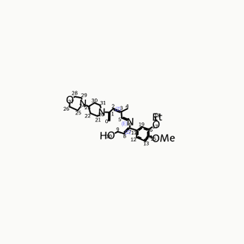 C=C(\C=C(C)/C=N/C(=C\CO)c1ccc(OC)c(OCC)c1)N1CCC(N2CCOCC2)CC1